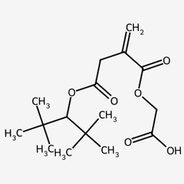 C=C(CC(=O)OC(C(C)(C)C)C(C)(C)C)C(=O)OCC(=O)O